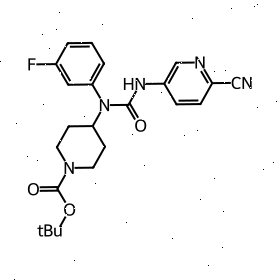 CC(C)(C)OC(=O)N1CCC(N(C(=O)Nc2ccc(C#N)nc2)c2cccc(F)c2)CC1